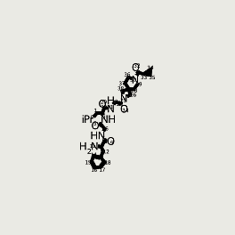 CC(C)CC(NC(=O)CNC(=O)C(N)Cc1ccccc1)C(=O)NCC(=O)N1CC2(CCN(C(=O)C3CC3)CC2)C1